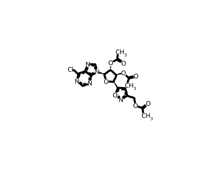 CC(=O)OCc1cc([C@H]2O[C@@H](n3cnc4c(Cl)ncnc43)[C@H](OC(C)=O)[C@H]2OC(C)=O)on1